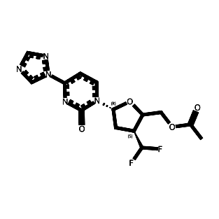 CC(=O)OCC1O[C@@H](n2ccc(-n3cncn3)nc2=O)C[C@@H]1C(F)F